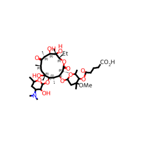 CC[C@H]1OC(=O)[C@H](C)[C@@H](OC2CC(C)(OC)C(OC(=O)CCCC(=O)O)C(C)O2)[C@H](C)[C@@H](OC2OC(C)CC(N(C)C)C2O)[C@](C)(O)C[C@@H](C)C(=O)[C@H](C)[C@@H](O)[C@]1(C)O